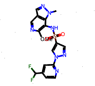 COc1ncc2cnn(C)c2c1NS(=O)(=O)c1cnn(-c2cc(C(F)F)ccn2)c1